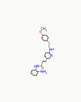 COc1ccc(CCNc2ccc(C=CC(=O)Nc3ccccc3N)cn2)cc1